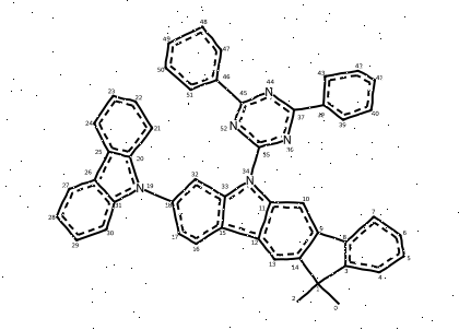 CC1(C)c2ccccc2-c2cc3c(cc21)c1ccc(-n2c4ccccc4c4ccccc42)cc1n3-c1nc(-c2ccccc2)nc(-c2ccccc2)n1